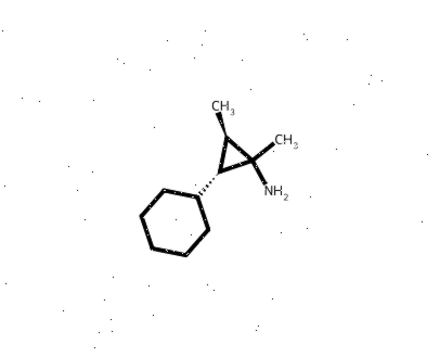 C[C@@H]1[C@@H](C2CCCCC2)C1(C)N